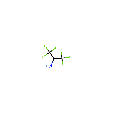 NC(C(F)(F)F)C(F)(F)F